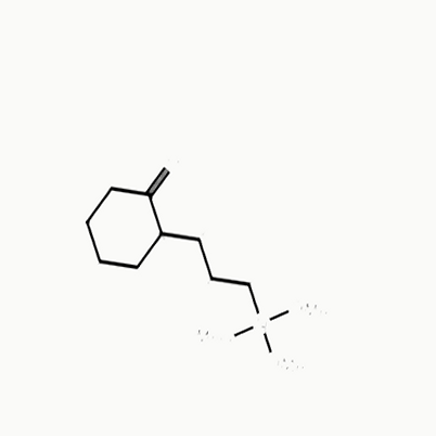 CO[Si](CCCC1CCCCC1=O)(OC)OC